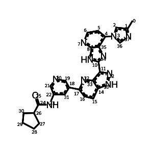 Cc1cn(-c2ccnc3[nH]c(-c4n[nH]c5ccc(-c6cncc(NC(=O)C7CCCC7)c6)nc45)nc23)cn1